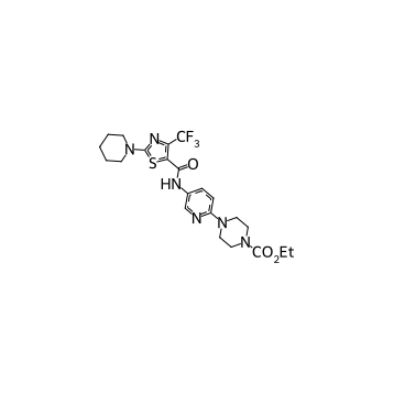 CCOC(=O)N1CCN(c2ccc(NC(=O)c3sc(N4CCCCC4)nc3C(F)(F)F)cn2)CC1